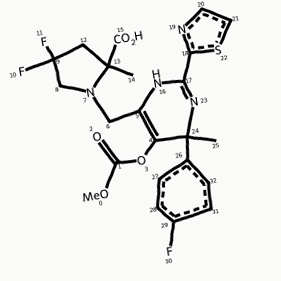 COC(=O)OC1=C(CN2CC(F)(F)CC2(C)C(=O)O)NC(c2nccs2)=NC1(C)c1ccc(F)cc1